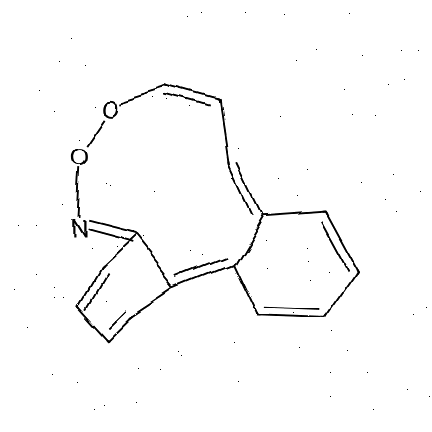 C1=C\OO\N=c2/cccc/c2=c2\cccc\c2=C/1